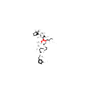 CC[C@H](C)[C@@H]([C@@H](CC(=O)N1CCC[C@H]1[C@H](OC)[C@@H](C)C(=O)N[C@H](CO)Cc1cccc(N)c1)OC)N(C)C(=O)[C@@H](NC(=O)[C@@H]1[C@H]2CC[C@@H]([C@H]2C)N1C)C(C)C